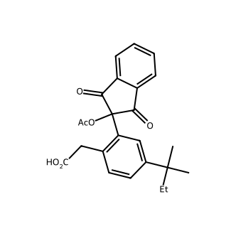 CCC(C)(C)c1ccc(CC(=O)O)c(C2(OC(C)=O)C(=O)c3ccccc3C2=O)c1